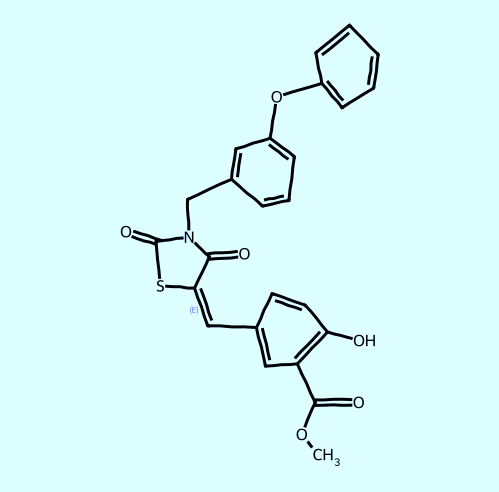 COC(=O)c1cc(/C=C2/SC(=O)N(Cc3cccc(Oc4ccccc4)c3)C2=O)ccc1O